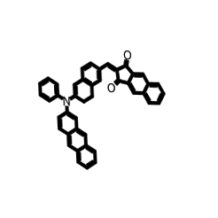 O=C1C(=Cc2ccc3c(c2)CCC(N(c2ccccc2)c2ccc4cc5ccccc5cc4c2)=C3)C(=O)c2cc3ccccc3cc21